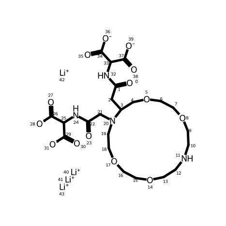 O=C(CC1COCCOCCNCCOCCOCCN1CC(=O)NC(C(=O)[O-])C(=O)[O-])NC(C(=O)[O-])C(=O)[O-].[Li+].[Li+].[Li+].[Li+]